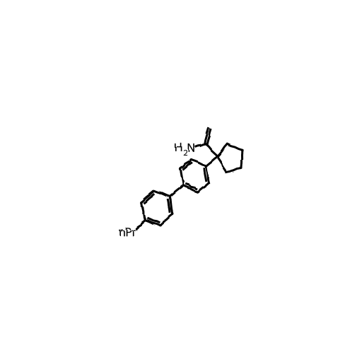 C=C(N)C1(c2ccc(-c3ccc(CCC)cc3)cc2)CCCC1